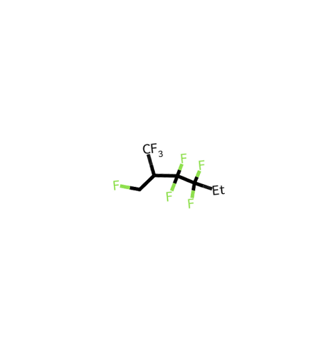 CCC(F)(F)C(F)(F)C(CF)C(F)(F)F